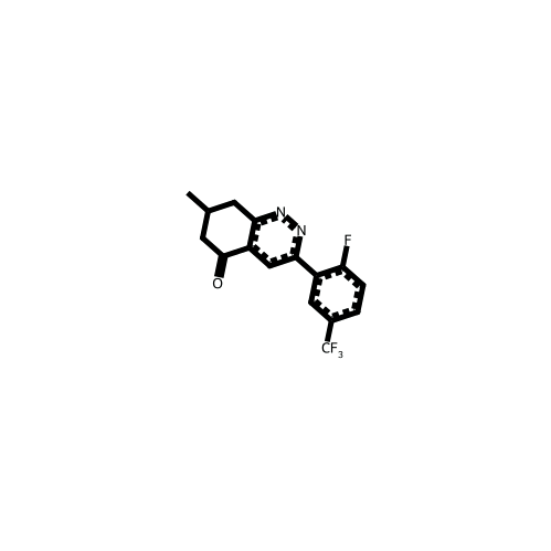 CC1CC(=O)c2cc(-c3cc(C(F)(F)F)ccc3F)nnc2C1